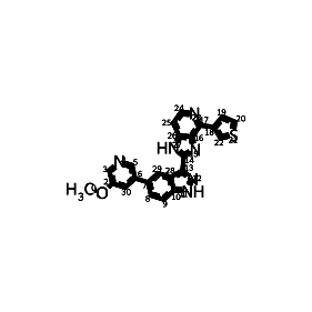 COc1cncc(-c2ccc3[nH]nc(-c4nc5c(-c6ccsc6)nccc5[nH]4)c3c2)c1